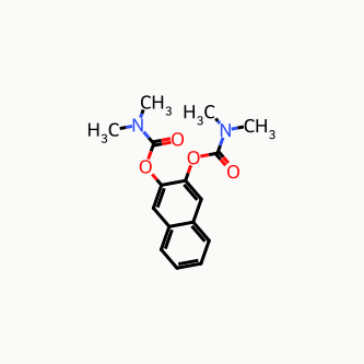 CN(C)C(=O)Oc1cc2ccccc2cc1OC(=O)N(C)C